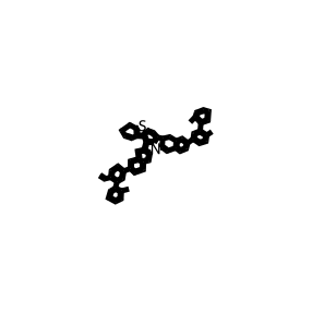 C=Cc1ccc(-c2ccc3cc4c(cc3c2)c2c3c5c(sc3cc3c2n4C2=Cc4ccc(-c6ccc(C)c(-c7ccccc7C)c6)cc4CC23)CCC=C5)cc1-c1ccccc1C